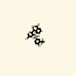 O=c1[nH]nc(-c2ncc(Cl)cc2NS(=O)(=O)c2ccc(Cl)c(C(F)(F)F)c2)c2ccccc12